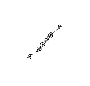 C=CC(=O)CCCCCCCCCOC(=O)Oc1ccc(C(=O)Oc2ccc(OC(=O)c3ccc(OC(=O)OCCCCCCCCOC(=O)C=C)cc3)cc2C)cc1